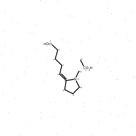 CC(=O)O.CCCCCCCCCCCC=C1CCCN1C